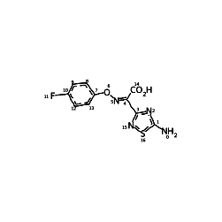 Nc1nc(/C(=N/Oc2ccc(F)cc2)C(=O)O)ns1